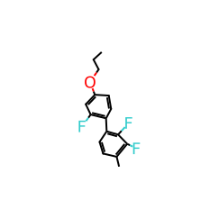 CCCOc1ccc(-c2ccc(C)c(F)c2F)c(F)c1